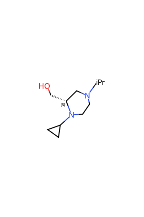 CC(C)N1CCN(C2CC2)[C@H](CO)C1